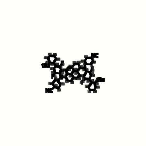 [C-]#[N+]c1ccc(N(c2cc(F)c(-c3ccccc3C(C)(C)C)cc2F)c2ccc3ccc4c(N(c5ccc(C#N)cc5)c5cc(F)c(-c6ccccc6C(C)(C)C)cc5F)ccc5ccc2c3c54)cc1